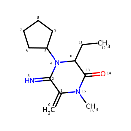 C=C1C(=N)N(C2CCCC2)C(CC)C(=O)N1C